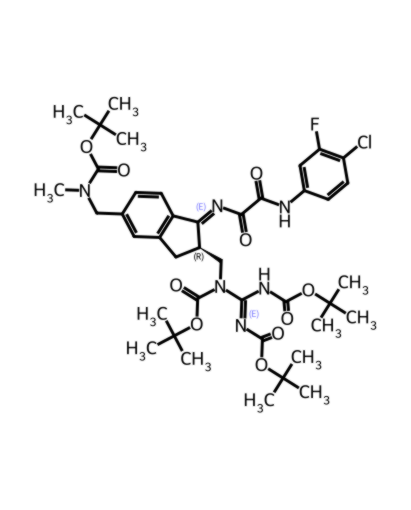 CN(Cc1ccc2c(c1)C[C@H](CN(C(=O)OC(C)(C)C)/C(=N/C(=O)OC(C)(C)C)NC(=O)OC(C)(C)C)/C2=N\C(=O)C(=O)Nc1ccc(Cl)c(F)c1)C(=O)OC(C)(C)C